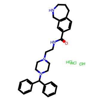 Cl.Cl.Cl.O=C(NCCN1CCN(C(c2ccccc2)c2ccccc2)CC1)c1ccc2c(c1)CNCCC2